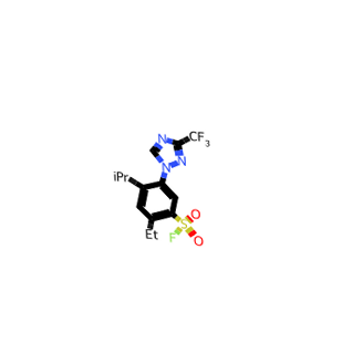 CCc1cc(C(C)C)c(-n2cnc(C(F)(F)F)n2)cc1S(=O)(=O)F